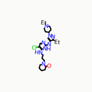 CCc1nn(C2CCN(CC)CC2)cc1Nc1ncc(Cl)c(NCCCN2CCCCC2=O)n1